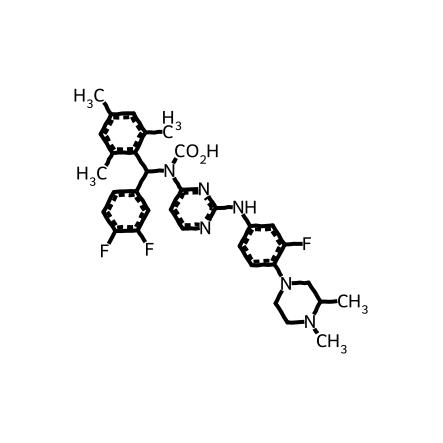 Cc1cc(C)c(C(c2ccc(F)c(F)c2)N(C(=O)O)c2ccnc(Nc3ccc(N4CCN(C)C(C)C4)c(F)c3)n2)c(C)c1